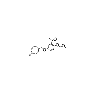 COCOc1ccc(OCC2=CC=C(F)C=CC2)cc1C(C)=O